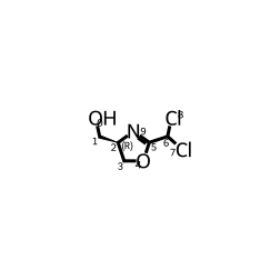 OC[C@@H]1COC(C(Cl)Cl)=N1